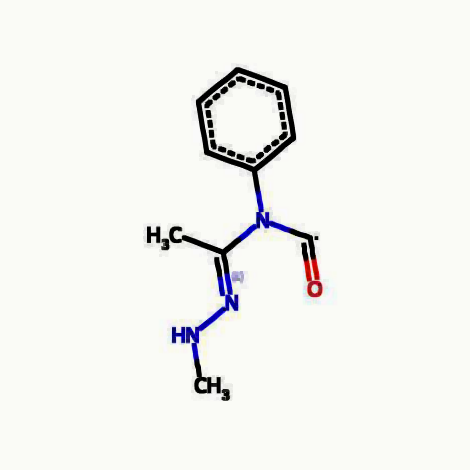 CN/N=C(\C)N([C]=O)c1ccccc1